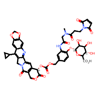 CN(CC(=O)Nc1cc(COC(=O)O[C@@H]2C(=O)OCc3c2cc2n(c3=O)Cc3c-2nc2cc4c(cc2c3C2CC2)OCO4)ccc1O[C@H]1OC(C(=O)O)[C@@H](O)C(O)C1O)C(=O)CCN1C(=O)C=CC1=O